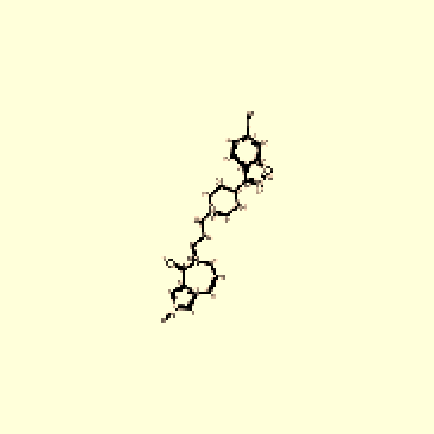 Cn1cc2c(c1)C(=O)N(CCCN1CCC(c3noc4cc(F)ccc34)CC1)CC=C2